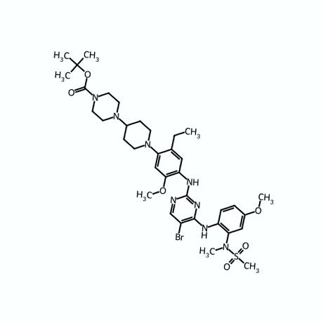 CCc1cc(Nc2ncc(Br)c(Nc3ccc(OC)cc3N(C)S(C)(=O)=O)n2)c(OC)cc1N1CCC(N2CCN(C(=O)OC(C)(C)C)CC2)CC1